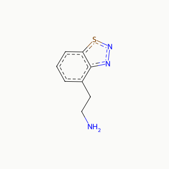 NCCc1cccc2snnc12